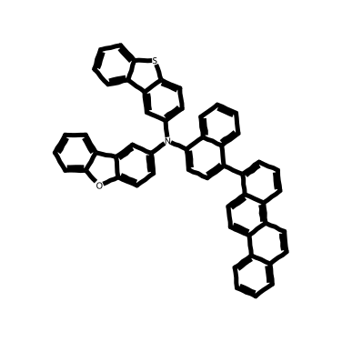 c1ccc2c(c1)ccc1c3cccc(-c4ccc(N(c5ccc6oc7ccccc7c6c5)c5ccc6sc7ccccc7c6c5)c5ccccc45)c3ccc21